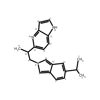 CC(C)c1ccc2cn(CC(C)c3ccc4[nH]ccc4n3)cc2c1